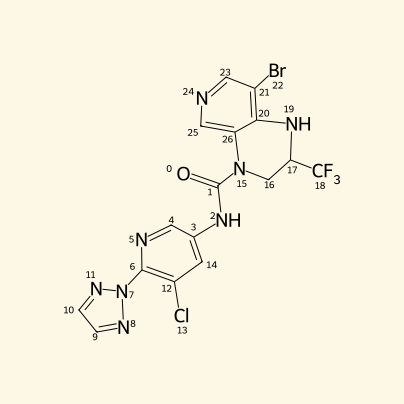 O=C(Nc1cnc(-n2nccn2)c(Cl)c1)N1CC(C(F)(F)F)Nc2c(Br)cncc21